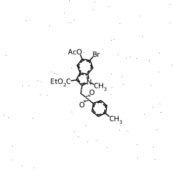 CCOC(=O)c1c(CS(=O)(=O)c2ccc(C)cc2)n(C)c2cc(Br)c(OC(C)=O)cc12